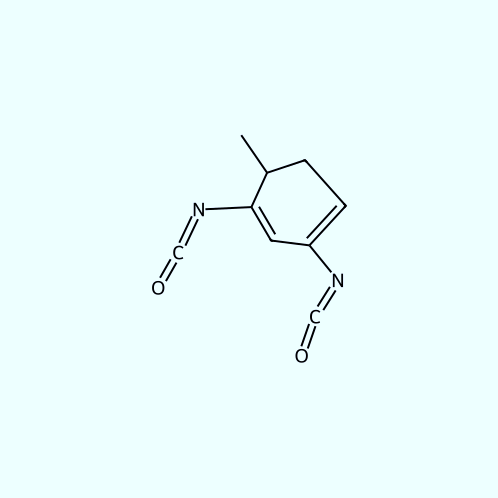 CC1CC=C(N=C=O)C=C1N=C=O